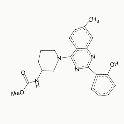 COC(=O)NC1CCCN(c2nc(-c3ccccc3O)nc3cc(C)ccc23)C1